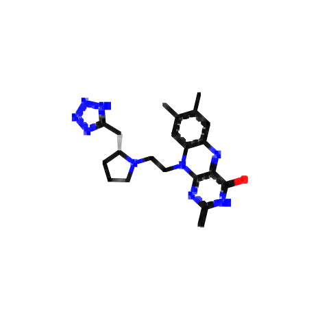 C=c1nc2c(c(=O)[nH]1)=Nc1cc(C)c(C)cc1N2CCN1CCC[C@@H]1Cc1nnn[nH]1